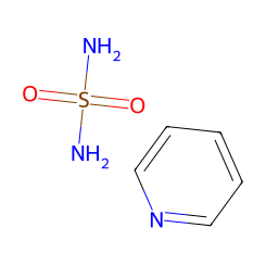 NS(N)(=O)=O.c1ccncc1